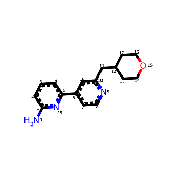 Nc1cccc(-c2ccnc(CC3CCOCC3)c2)n1